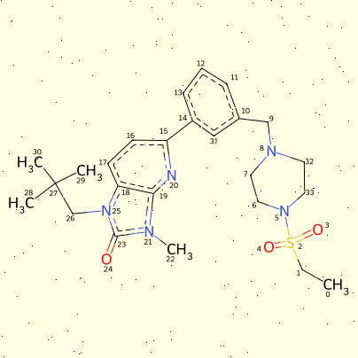 CCS(=O)(=O)N1CCN(Cc2cccc(-c3ccc4c(n3)n(C)c(=O)n4CC(C)(C)C)c2)CC1